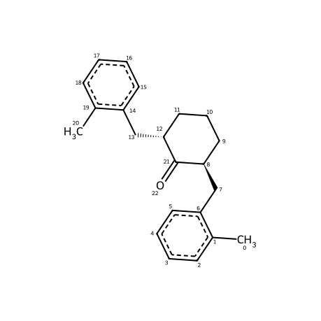 Cc1ccccc1C[C@@H]1CCC[C@@H](Cc2ccccc2C)C1=O